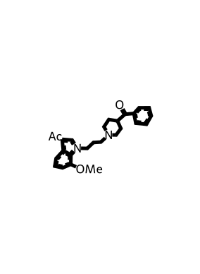 COc1cccc2c(C(C)=O)cn(CCCN3CCC(C(=O)c4ccccc4)CC3)c12